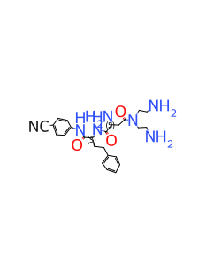 N#Cc1ccc(NC(=O)[C@H](CCc2ccccc2)NC(=O)[C@@H](N)CC(=O)N(CCN)CCN)cc1